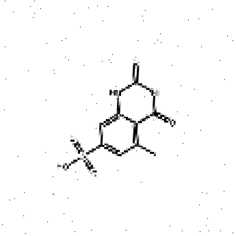 Cc1cc(S(=O)(=O)O)cc2[nH]c(=O)[nH]c(=O)c12